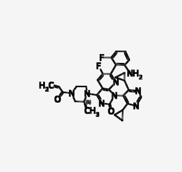 C=CC(=O)N1CCN(c2nc(=O)n(-c3c(C4CC4)ncnc3C3CC3)c3nc(-c4c(N)cccc4F)c(F)cc23)[C@@H](C)C1